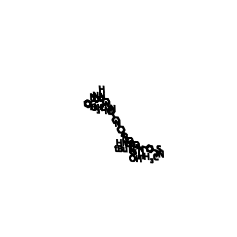 Cc1ncsc1-c1ccc(CNC(=O)[C@@H]2C[C@@H](O)CN2C(=O)[C@@H](NC(=O)N2CC3(CCC(N4CCC(c5cnc(N6CCc7[nH]c8nnc(-c9ccccc9O)cc8c7[C@@H]6C)nc5)CC4)CC3)C2)C(C)(C)C)cc1